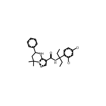 CCC(CC)(NC(=O)c1cnn2c1NC(c1ccccc1)CC2(C)C)c1ccc(Cl)cc1Cl